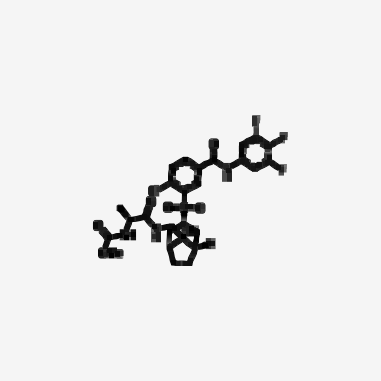 COC(=O)N[C@@H](C)C(=O)NC[C@@]1(O)C2CC[C@H]1C[C@H](S(=O)(=O)c1cc(C(=O)Nc3cc(F)c(F)c(F)c3)ccc1Cl)C2